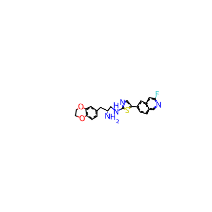 N[C@@H](CNc1ncc(-c2ccc3cnc(F)cc3c2)s1)Cc1ccc2c(c1)OCCO2